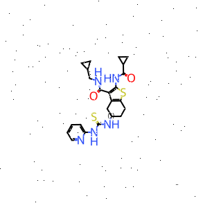 O=C(NCC1CC1)c1c(NC(=O)C2CC2)sc2c1C[C@@H](NC(=S)Nc1ccccn1)CC2